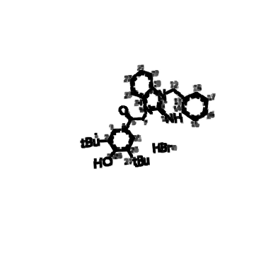 Br.CC(C)(C)c1cc(C(=O)Cn2c(=N)n(Cc3ccccc3)c3ccccc32)cc(C(C)(C)C)c1O